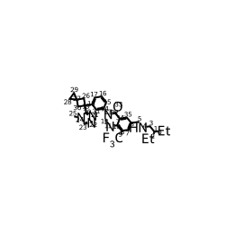 CCC(CC)CNCc1cc(C(F)(F)F)c2ncn(-c3cccc(C4(c5nncn5C)CC5(CC5)C4)c3)c(=O)c2c1